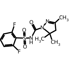 CC1=NN(C(=O)NS(=O)(=O)c2c(F)cccc2F)C(C)(C)C1